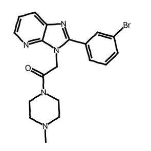 CN1CCN(C(=O)Cn2c(-c3cccc(Br)c3)nc3cccnc32)CC1